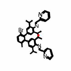 Cc1ccc(Br)c(-c2cc(C(C)C)c(/N=C/c3ccccn3)c(C(C)C)c2)c1-c1cc(C(C)C)c(/N=C/c2ccccn2)c(C(C)C)c1